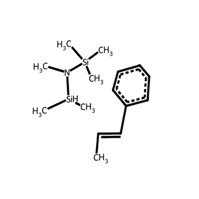 CC=Cc1ccccc1.CN([SiH](C)C)[Si](C)(C)C